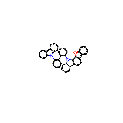 C1=CC2c3ccc4c(oc5ccccc54)c3N(c3ccccc3-c3ccccc3-n3c4ccccc4c4ccccc43)C2C=C1